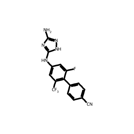 N#Cc1ccc(-c2c(F)cc(Nc3nc(N)n[nH]3)cc2C(F)(F)F)cc1